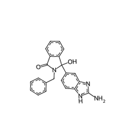 Nc1nc2cc(C3(O)c4ccccc4C(=O)N3Cc3ccccc3)ccc2[nH]1